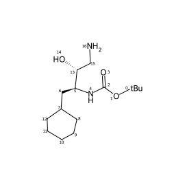 CC(C)(C)OC(=O)N[C@@H](CC1CCCCC1)[C@H](O)CN